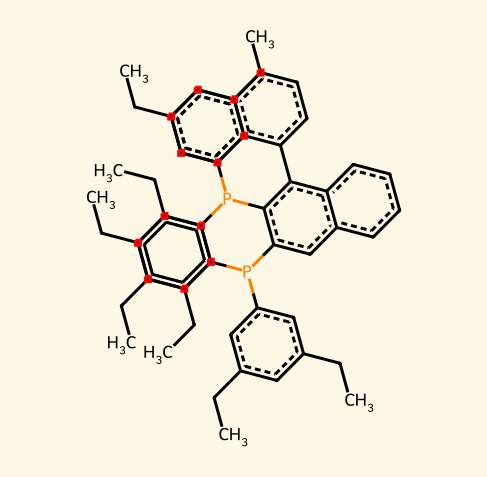 CCc1cc(CC)cc(P(c2cc(CC)cc(CC)c2)c2cc3ccccc3c(-c3cccc4ccccc34)c2P(c2cc(CC)cc(CC)c2)c2cc(CC)cc(CC)c2)c1